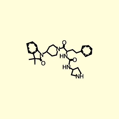 CC1(C)C(=O)N(C2CCN(C(=O)C(CCc3ccccc3)NC(=O)NC3CCNC3)CC2)c2ccccc21